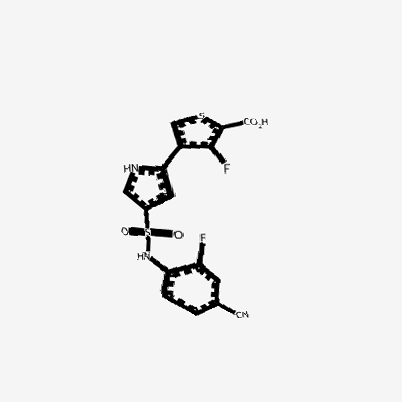 N#Cc1ccc(NS(=O)(=O)c2c[nH]c(-c3csc(C(=O)O)c3F)c2)c(F)c1